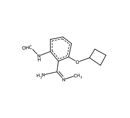 C/N=C(/N)c1c(NC=O)cccc1OC1CCC1